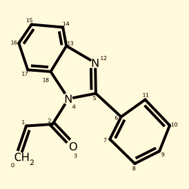 C=CC(=O)n1c(-c2ccccc2)nc2ccccc21